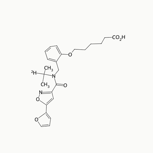 [2H]C(C)(C)N(Cc1ccccc1OCCCCCC(=O)O)C(=O)c1cc(-c2ccco2)on1